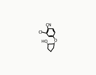 N#Cc1ccc(O[C@@H]2CCC[C@@H]2O)cc1Cl